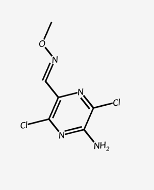 CON=Cc1nc(Cl)c(N)nc1Cl